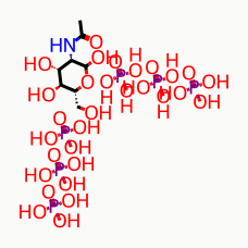 CC(=O)N[C@@H]1C(O)O[C@H](CO)[C@@H](O)[C@@H]1O.O=P(O)(O)O.O=P(O)(O)O.O=P(O)(O)O.O=P(O)(O)O.O=P(O)(O)O.O=P(O)(O)O